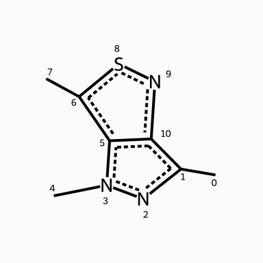 Cc1nn(C)c2c(C)snc12